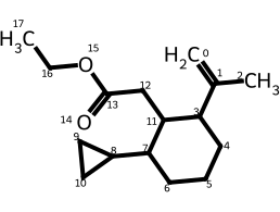 C=C(C)C1CCCC(C2CC2)C1CC(=O)OCC